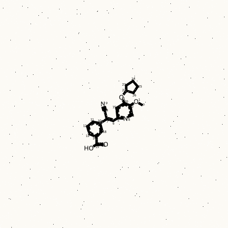 COc1cnc(C=C(C#N)c2cccc(C(=O)O)c2)cc1OC1CCCC1